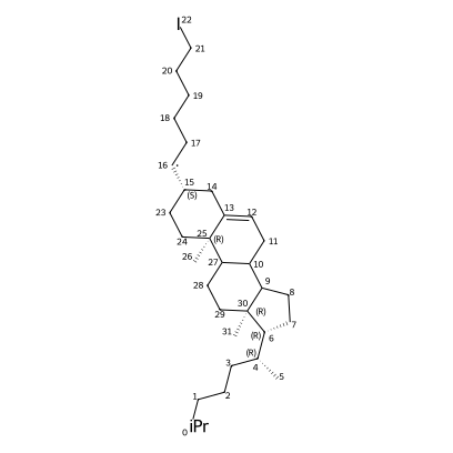 CC(C)CCC[C@@H](C)[C@H]1CCC2C3CC=C4C[C@@H]([CH]CCCCCI)CC[C@]4(C)C3CC[C@@]21C